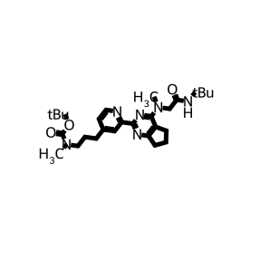 CN(CCCc1ccnc(-c2nc3c(c(N(C)CC(=O)NC(C)(C)C)n2)CCC3)c1)C(=O)OC(C)(C)C